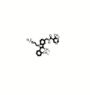 COCCn1c(-c2ccccc2C)c(C)c2cc(CNC(=O)c3cncnc3C)ccc21